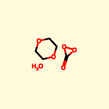 C1COCCO1.O.O=C1OO1